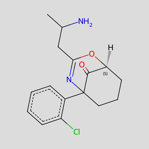 CC(N)CC1=NC2(c3ccccc3Cl)CCC[C@H](O1)C2=O